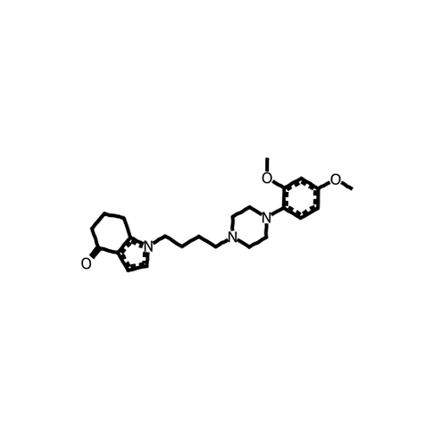 COc1ccc(N2CCN(CCCCn3ccc4c3CCCC4=O)CC2)c(OC)c1